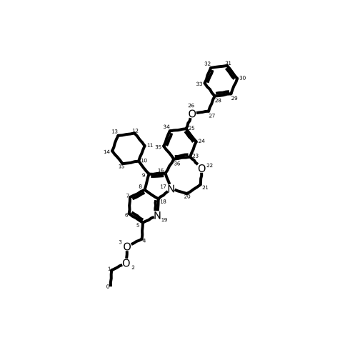 CCOOCc1ccc2c(C3CCCCC3)c3n(c2n1)CCOc1cc(OCc2ccccc2)ccc1-3